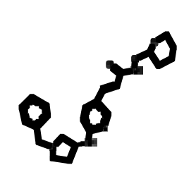 O=C(C=Cc1ccc(N[C@@H]2CCN(Cc3ccccc3)C2)nc1)NOC1CCCCO1